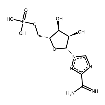 N=C(N)c1ncn([C@@H]2O[C@H](COP(=O)(O)O)[C@@H](O)[C@H]2O)n1